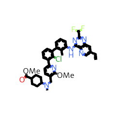 C=Cc1cnc2c(Nc3cccc(-c4cccc(-c5ccc(CN(C)C6CCC(C(=O)OC)CC6)c(OC)n5)c4Cl)c3C)nc(C(F)F)nc2c1